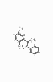 C/C(=C\c1ccccc1)c1cc(C)ccc1N